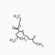 CCCOC(=O)C(CC(C)C)SCCCC(F)CC